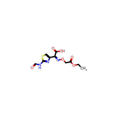 CCOC(=O)CO/N=C(\C(=O)O)c1csc(NC=O)n1